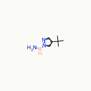 CC(C)(C)c1cnn(BN)c1